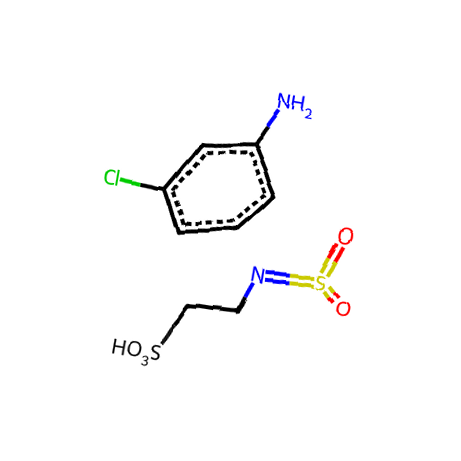 Nc1cccc(Cl)c1.O=S(=O)=NCCS(=O)(=O)O